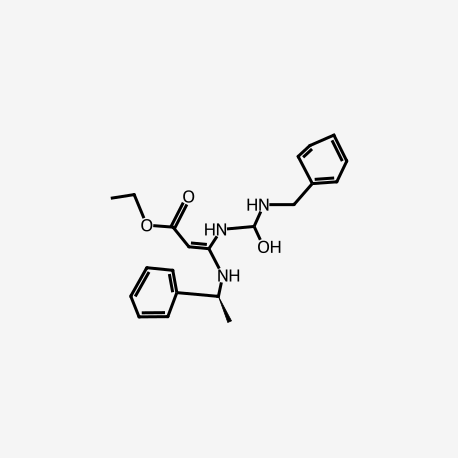 CCOC(=O)/C=C(\NC(O)NCc1ccccc1)N[C@@H](C)c1ccccc1